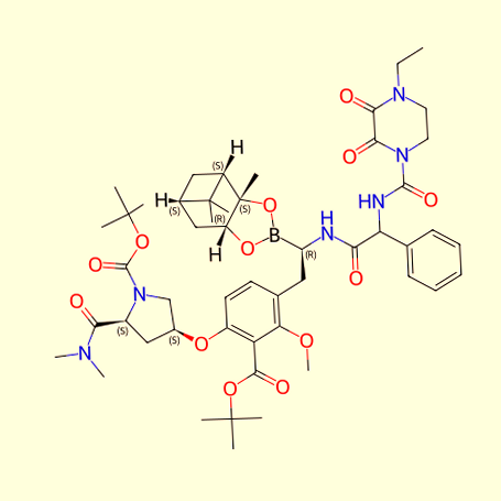 CCN1CCN(C(=O)NC(C(=O)N[C@@H](Cc2ccc(O[C@H]3C[C@@H](C(=O)N(C)C)N(C(=O)OC(C)(C)C)C3)c(C(=O)OC(C)(C)C)c2OC)B2O[C@@H]3C[C@@H]4C[C@@H](C4(C)C)[C@]3(C)O2)c2ccccc2)C(=O)C1=O